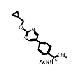 CC(=O)N[C@@H](C)c1ccc(-c2cnc(OCC3CC3)nc2)cc1